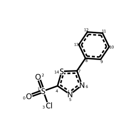 O=S(=O)(Cl)c1nnc(-c2ccccc2)s1